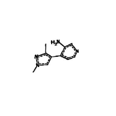 Cc1nn(C)cc1-c1ccncc1N